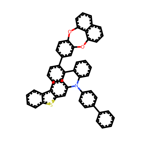 c1ccc(-c2ccc(N(c3ccc4c(c3)sc3ccccc34)c3ccccc3-c3ccccc3-c3ccc4c(c3)Oc3cccc5cccc(c35)O4)cc2)cc1